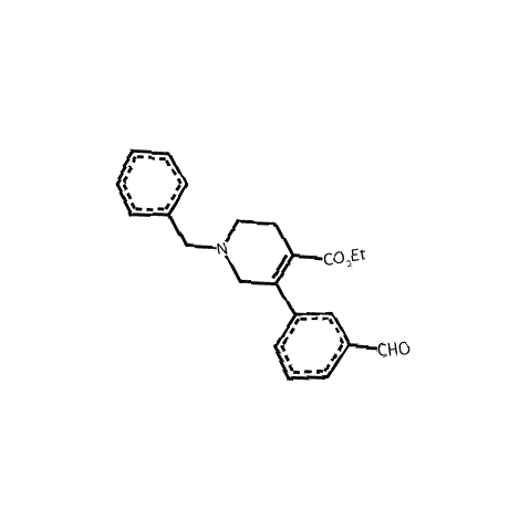 CCOC(=O)C1=C(c2cccc(C=O)c2)CN(Cc2ccccc2)CC1